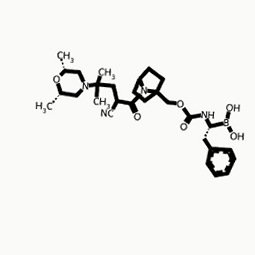 C[C@@H]1CN(C(C)(C)CC(C#N)C(=O)N2C3CCC2(COC(=O)N[C@@H](Cc2ccccc2)B(O)O)CC3)C[C@H](C)O1